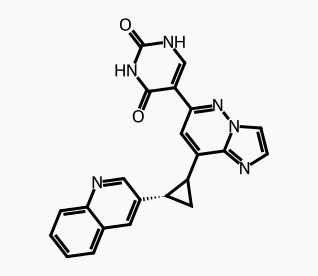 O=c1[nH]cc(-c2cc(C3C[C@@H]3c3cnc4ccccc4c3)c3nccn3n2)c(=O)[nH]1